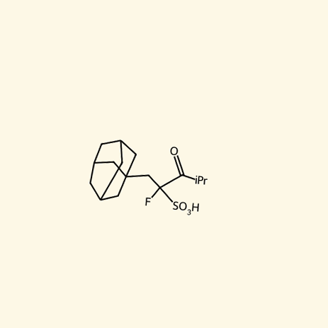 CC(C)C(=O)C(F)(CC12CC3CC(CC(C3)C1)C2)S(=O)(=O)O